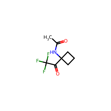 CC(=O)NC1(C(=O)C(F)(F)F)CCC1